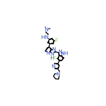 CN(C)CCNc1cc(F)cc(-c2ccnc3[nH]c(-c4n[nH]c5ccc(-c6cncc(CN7CCCCC7)c6)c(F)c45)nc23)c1